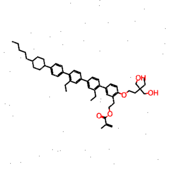 C=C(C)C(=O)OCCc1cc(-c2ccc(-c3ccc(-c4ccc(C5CCC(CCCCC)CC5)cc4)c(CC)c3)cc2CC)ccc1OCCC(CC)(CO)CO